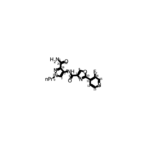 CCCn1cc(NC(=O)c2coc(-c3ccncc3F)n2)c(C(N)=O)n1